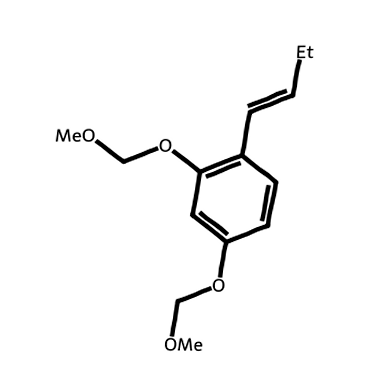 CC/C=C/c1ccc(OCOC)cc1OCOC